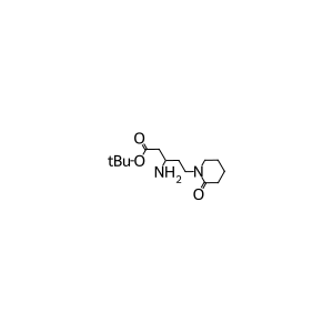 CC(C)(C)OC(=O)CC(N)CCN1CCCCC1=O